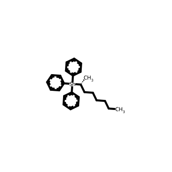 CCCCCC[C@@H](C)[Sn]([c]1ccccc1)([c]1ccccc1)[c]1ccccc1